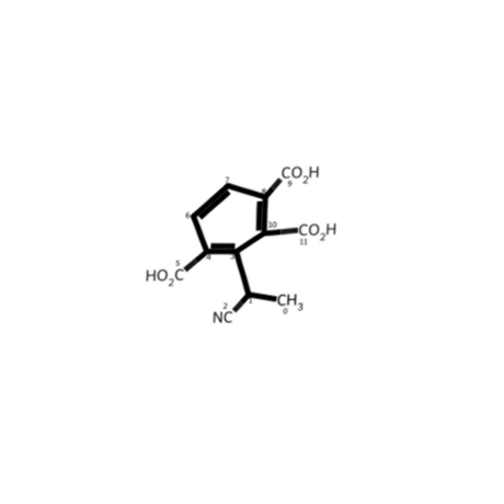 CC(C#N)c1c(C(=O)O)ccc(C(=O)O)c1C(=O)O